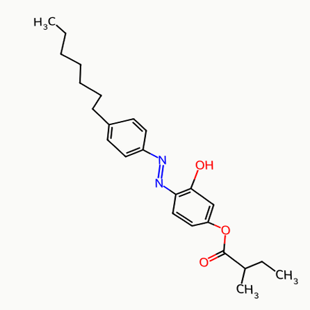 CCCCCCCc1ccc(/N=N/c2ccc(OC(=O)C(C)CC)cc2O)cc1